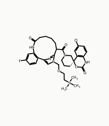 C[Si](C)(C)CCOCn1cc2nc1C(C(=O)N1CCC[C@@]3(C1)OC(=O)Nc1ccc(Cl)cc13)CCCCC(=O)Nc1cc(F)ccc1-2